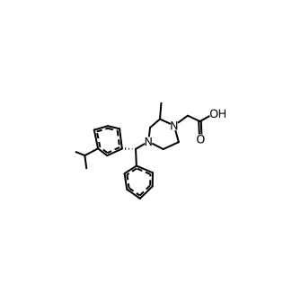 CC(C)c1cccc([C@@H](c2ccccc2)N2CCN(CC(=O)O)C(C)C2)c1